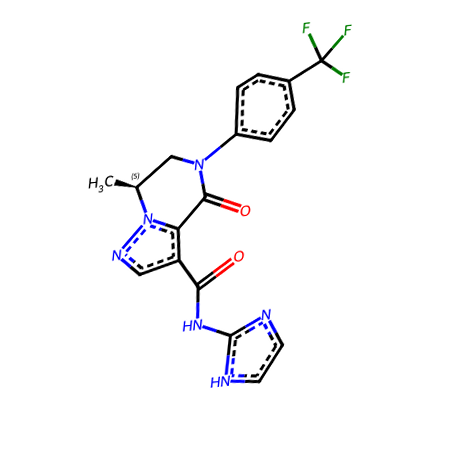 C[C@H]1CN(c2ccc(C(F)(F)F)cc2)C(=O)c2c(C(=O)Nc3ncc[nH]3)cnn21